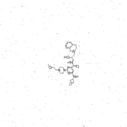 COCCN1CCN(c2nc(NC3COC3)cc(C(=O)NCC(O)CN3CCc4ccccc4C3)n2)CC1